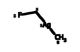 [CH3][Ag][CH2]F